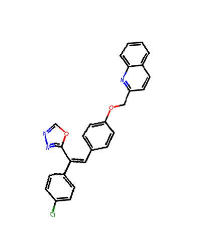 Clc1ccc(C(=Cc2ccc(OCc3ccc4ccccc4n3)cc2)c2nnco2)cc1